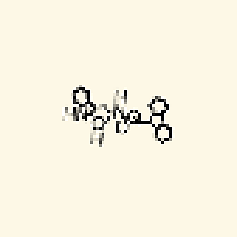 O=C(N[C@@H](CO)Cc1c[nH]c2ccccc12)OCC1c2ccccc2-c2ccccc21